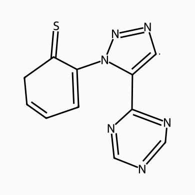 S=C1CC=CC=C1n1nn[c]c1-c1ncncn1